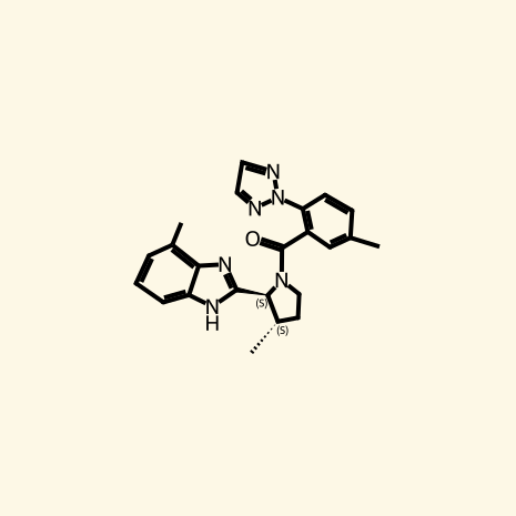 Cc1ccc(-n2nccn2)c(C(=O)N2CC[C@H](C)[C@H]2c2nc3c(C)cccc3[nH]2)c1